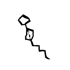 CCCCCCC12CCC(c3cc[c]cc3)(CC1)CC2